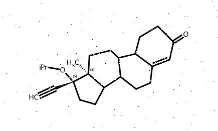 C#C[C@]1(OC(C)C)CCC2C3CCC4=CC(=O)CCC4C3CC[C@@]21C